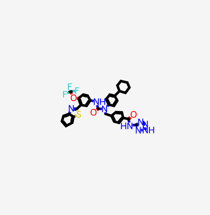 O=C(Nc1nn[nH]n1)c1ccc(CN(C(=O)Nc2ccc(OC(F)(F)F)c(-c3nc4ccccc4s3)c2)c2ccc(C3CCCCC3)cc2)cc1